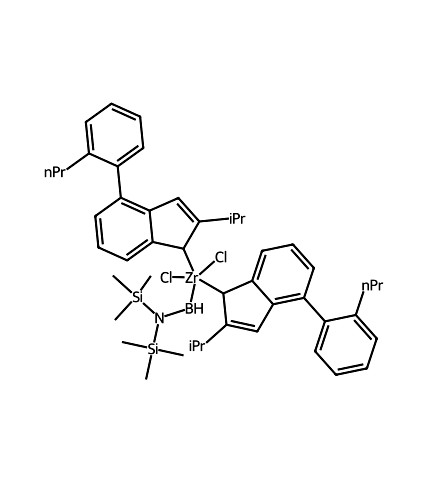 CCCc1ccccc1-c1cccc2c1C=C(C(C)C)[CH]2[Zr]([Cl])([Cl])([BH]N([Si](C)(C)C)[Si](C)(C)C)[CH]1C(C(C)C)=Cc2c(-c3ccccc3CCC)cccc21